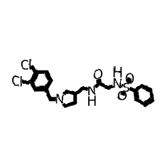 O=C(CNS(=O)(=O)c1ccccc1)NCC1CCN(Cc2ccc(Cl)c(Cl)c2)C1